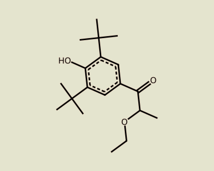 CCOC(C)C(=O)c1cc(C(C)(C)C)c(O)c(C(C)(C)C)c1